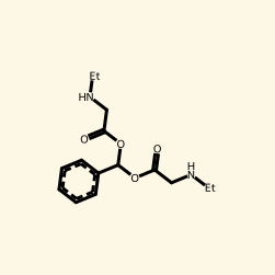 CCNCC(=O)OC(OC(=O)CNCC)c1ccccc1